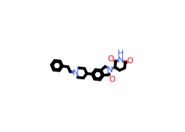 O=C1CC[C@@H](N2Cc3cc(C4CCN(CCc5ccccc5)CC4)ccc3C2=O)C(=O)N1